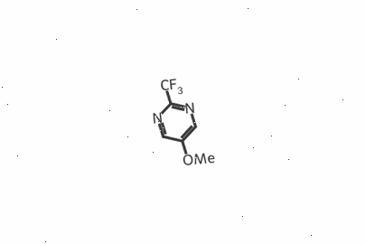 COc1cnc(C(F)(F)F)nc1